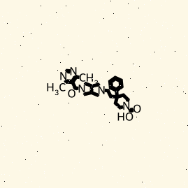 Cc1ncnc(C)c1C(=O)N1CC2CN(CCC3(c4ccccc4)CCN(C(=O)O)CC3)CC2C1